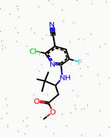 COC(=O)CC(Nc1nc(Cl)c(C#N)cc1F)C(C)(C)C